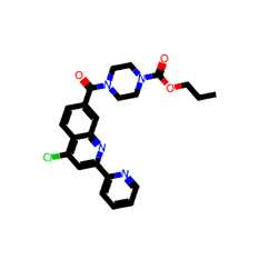 CCCOC(=O)N1CCN(C(=O)c2ccc3c(Cl)cc(-c4ccccn4)nc3c2)CC1